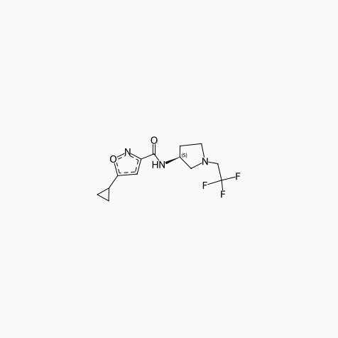 O=C(N[C@H]1CCN(CC(F)(F)F)C1)c1cc(C2CC2)on1